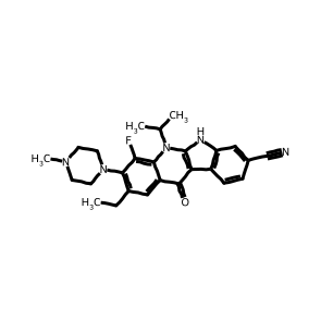 CCc1cc2c(=O)c3c4ccc(C#N)cc4[nH]c3n(C(C)C)c2c(F)c1N1CCN(C)CC1